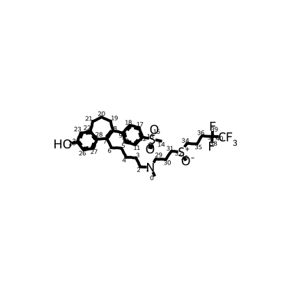 CN(CCCCCC1=C(c2ccc(S(C)(=O)=O)cc2)CCCc2cc(O)ccc21)CCC[S+]([O-])CCCC(F)(F)C(F)(F)F